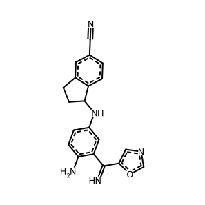 N#Cc1ccc2c(c1)CCC2Nc1ccc(N)c(C(=N)c2cnco2)c1